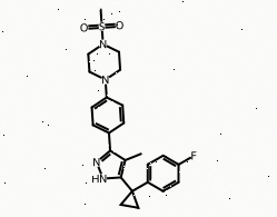 Cc1c(-c2ccc(N3CCN(S(C)(=O)=O)CC3)cc2)n[nH]c1C1(c2ccc(F)cc2)CC1